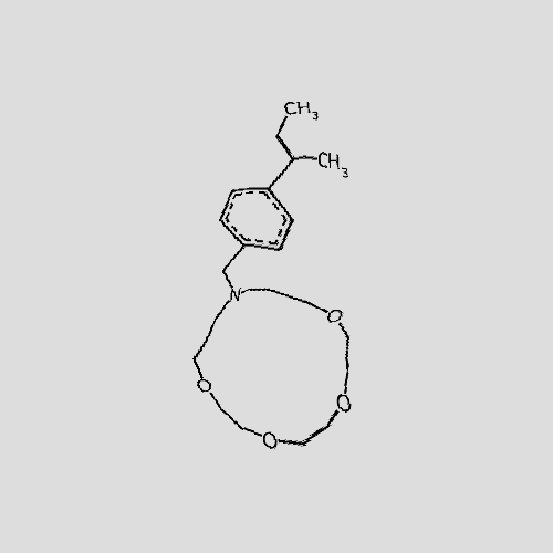 CCC(C)c1ccc(CN2CCOCCOCCOCCOCC2)cc1